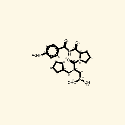 CC(=O)Nc1ccc(C(=O)NC(=O)C2CCCN2C(=O)[C@H](CC2CCCC2)CN(O)C=O)cc1